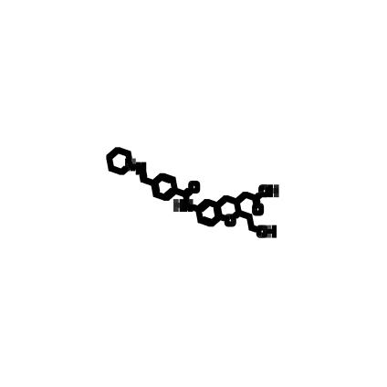 O=C(O)CC1Cc2cc(NC(=O)c3ccc(C=NN4CCCCC4)cc3)ccc2OC1CCO